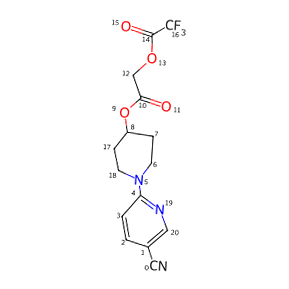 N#Cc1ccc(N2CCC(OC(=O)COC(=O)C(F)(F)F)CC2)nc1